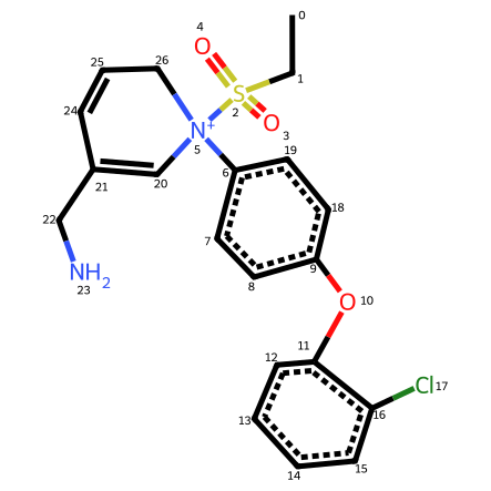 CCS(=O)(=O)[N+]1(c2ccc(Oc3ccccc3Cl)cc2)C=C(CN)C=CC1